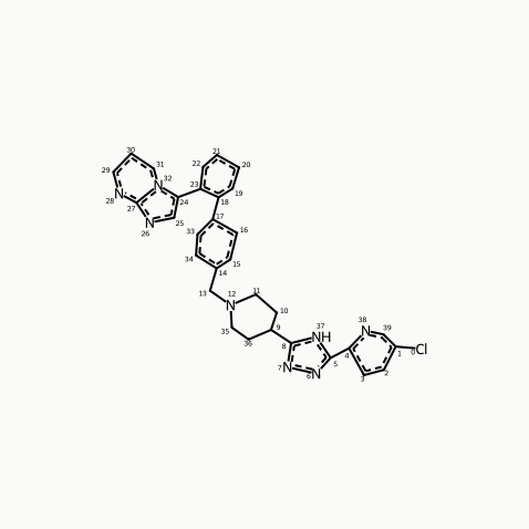 Clc1ccc(-c2nnc(C3CCN(Cc4ccc(-c5ccccc5-c5cnc6ncccn56)cc4)CC3)[nH]2)nc1